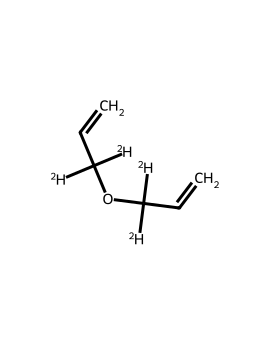 [2H]C([2H])(C=C)OC([2H])([2H])C=C